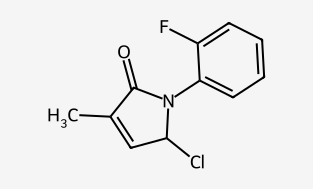 CC1=CC(Cl)N(c2ccccc2F)C1=O